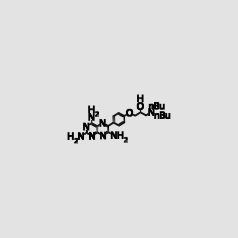 CCCCN(CCCC)CC(O)COc1ccc(-c2nc3c(N)nc(N)nc3nc2N)cc1